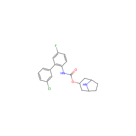 O=C(Nc1ccc(F)cc1-c1cccc(Cl)c1)OC1CC2CCC(C1)N2